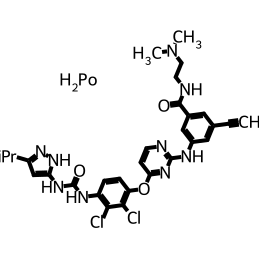 C#Cc1cc(Nc2nccc(Oc3ccc(NC(=O)Nc4cc(C(C)C)n[nH]4)c(Cl)c3Cl)n2)cc(C(=O)NCCN(C)C)c1.[PoH2]